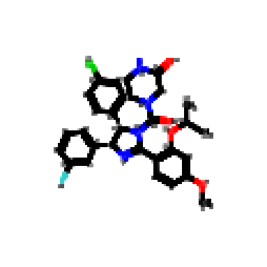 COc1ccc(C2=N[C@H](c3cccc(F)c3)[C@H](c3ccc(Cl)cc3)N2C(=O)N2CCNC(=O)C2)c(OC(C)C)c1